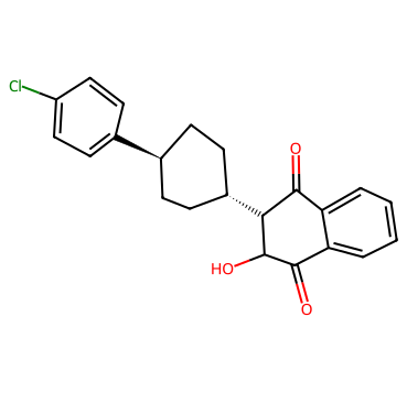 O=C1c2ccccc2C(=O)C([C@H]2CC[C@H](c3ccc(Cl)cc3)CC2)C1O